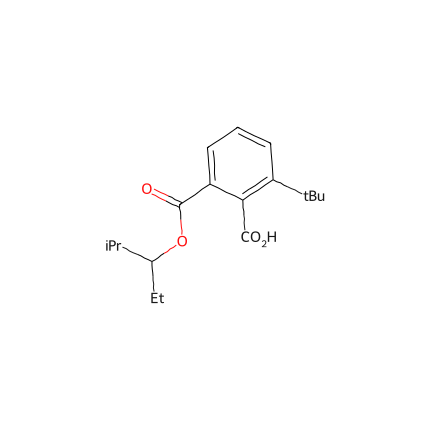 CCC(OC(=O)c1cccc(C(C)(C)C)c1C(=O)O)C(C)C